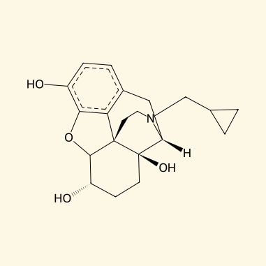 Oc1ccc2c3c1OC1[C@@H](O)CC[C@@]4(O)[C@@H](C2)N(CC2CC2)CC[C@]314